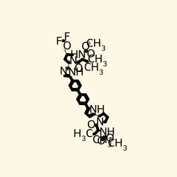 COC(=O)N[C@H](C(=O)N1CCC[C@H]1c1ccc(-c2ccc(-c3ccc(-c4cnc([C@@H]5C[C@H](COC(F)F)CN5C(=O)[C@@H](NC(=O)OC)C(C)C)[nH]4)cc3)cc2)[nH]1)C(C)C